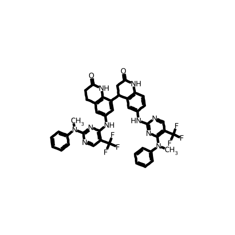 CN(c1ccccc1)c1ncc(C(F)(F)F)c(Nc2cc3c(c(C4CC(=O)Nc5ccc(Nc6ncc(C(F)(F)F)c(N(C)c7ccccc7)n6)cc54)c2)NC(=O)CC3)n1